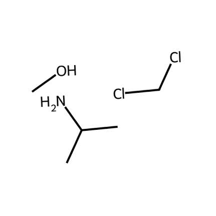 CC(C)N.CO.ClCCl